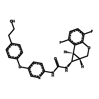 O=C(Nc1ccc(Oc2ccc(CCO)cc2)cn1)N[C@@H]1[C@H]2COc3c(F)ccc(F)c3[C@@H]21